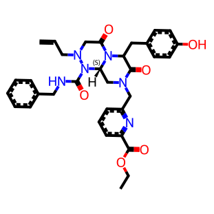 C=CCN1CC(=O)N2C(Cc3ccc(O)cc3)C(=O)N(Cc3cccc(C(=O)OCC)n3)C[C@@H]2N1C(=O)NCc1ccccc1